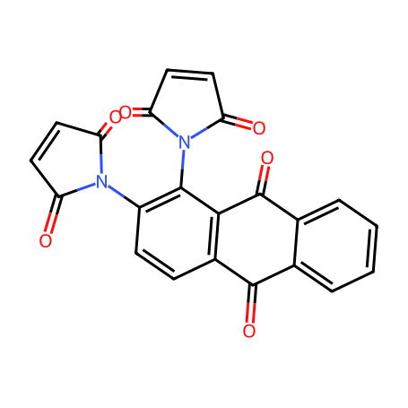 O=C1c2ccccc2C(=O)c2c1ccc(N1C(=O)C=CC1=O)c2N1C(=O)C=CC1=O